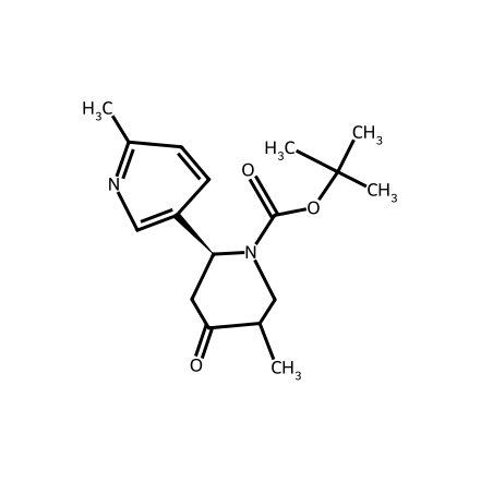 Cc1ccc([C@@H]2CC(=O)C(C)CN2C(=O)OC(C)(C)C)cn1